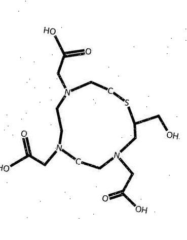 O=C(O)CN1CCSC(CO)CN(CC(=O)O)CCN(CC(=O)O)CC1